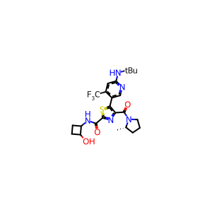 C[C@H]1CCCN1C(=O)c1nc(C(=O)NC2CCC2O)sc1-c1cnc(NC(C)(C)C)cc1C(F)(F)F